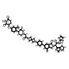 O=C1CCC(Oc2ccc(C3CCN(CC(=O)N4CC5(C4)CN(c4ccc(-c6cc(F)c7c(c6)C(=O)N(C(C(=O)Nc6nccs6)c6ncn8c6CCC8)C7)cc4)C5)CC3(F)F)c(F)c2)C(=O)N1